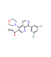 CNC(=O)c1cnc2c(-c3cc(Cl)cc(Cl)c3)nccc2c1N1CCOCC1